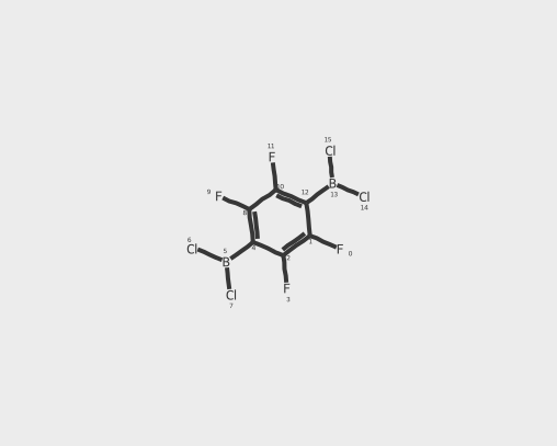 Fc1c(F)c(B(Cl)Cl)c(F)c(F)c1B(Cl)Cl